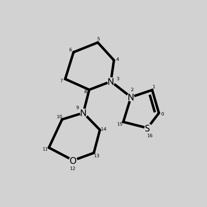 C1=CN(N2CCCCC2N2CCOCC2)CS1